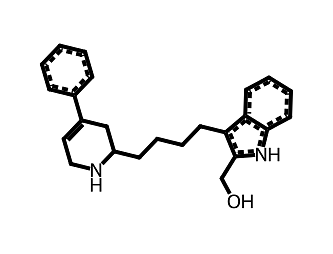 OCc1[nH]c2ccccc2c1CCCCC1CC(c2ccccc2)=CCN1